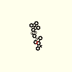 CC1(C)c2ccccc2-c2ccc(-c3ccccc3N(c3ccccc3)c3ccc4c(c3)Oc3c(ccc5c3-c3ccccc3C53c5ccccc5-c5ccccc53)O4)cc21